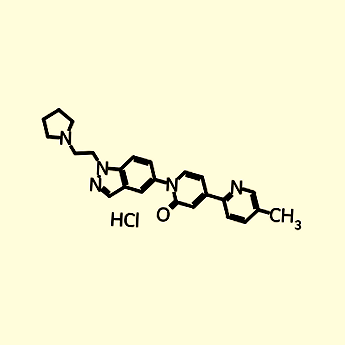 Cc1ccc(-c2ccn(-c3ccc4c(cnn4CCN4CCCC4)c3)c(=O)c2)nc1.Cl